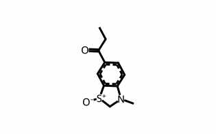 CCC(=O)c1ccc2c(c1)[S+]([O-])CN2C